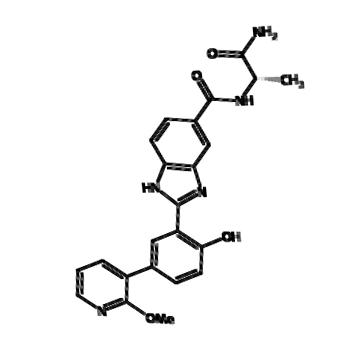 COc1ncccc1-c1ccc(O)c(-c2nc3cc(C(=O)N[C@@H](C)C(N)=O)ccc3[nH]2)c1